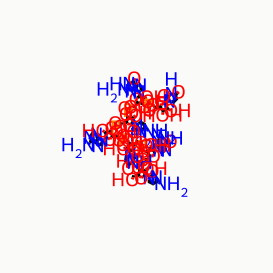 Nc1ccn([C@@H]2O[C@H](CO)C(OP(=O)(O)OC[C@H]3O[C@@H](n4cnc5c(=O)[nH]c(N)nc54)C(O)C3OP(=O)(O)OC[C@H]3O[C@@H](n4ccc(=O)[nH]c4=O)C(O)C3OP(=O)(O)OC[C@H]3O[C@@H](n4cnc5c(N)ncnc54)C(O)C3OP(=O)(O)OC[C@H]3O[C@@H](n4ccc(N)nc4=O)C(O)C3OP(=O)(O)OC[C@H]3O[C@@H](n4cnc5c(=O)[nH]c(N)nc54)C(O)C3OP(=O)(O)OC[C@H]3O[C@@H](n4ccc(=O)[nH]c4=O)C(O)C3O)C2O)c(=O)n1